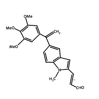 C=C(c1cc(OC)c(OC)c(OC)c1)c1ccc2c(c1)cc(/C=C/C=O)n2C